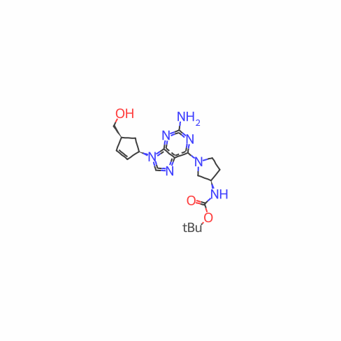 CC(C)(C)OC(=O)N[C@@H]1CCN(c2nc(N)nc3c2ncn3[C@H]2C=C[C@@H](CO)C2)C1